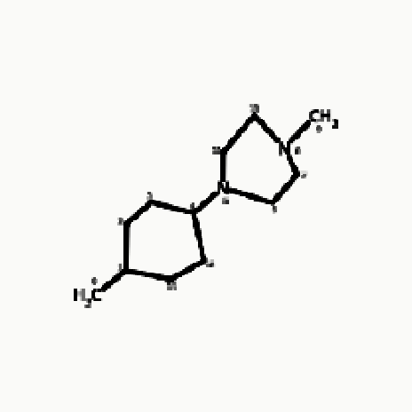 CC1CCC(N2CCN(C)CC2)CC1